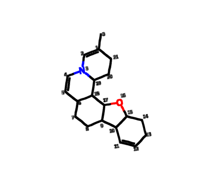 CC1=CN2C=CC3CCC4C5C=CCCC5OC4C3C2CC1